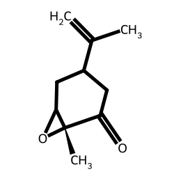 C=C(C)C1CC(=O)[C@]2(C)OC2C1